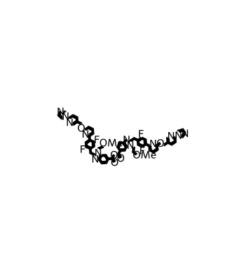 COCCn1c(Cc2cc(F)c(-c3cccc(OCc4ccc(-n5ccnc5)nc4)n3)cc2F)nc2ccc(C(=O)OC(=O)c3ccc4nc(Cc5cc(F)c(-c6cccc(OCc7ccc(-n8ccnc8)nc7)n6)cc5F)n(CCOC)c4c3)cc21